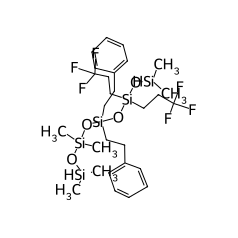 C[SiH](C)O[Si](C)(C)O[Si](CCc1ccccc1)(CCc1ccccc1)O[Si](CCC(F)(F)F)(CCC(F)(F)F)O[SiH](C)C